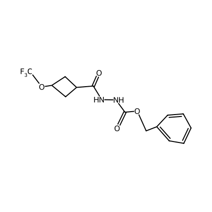 O=C(NNC(=O)C1CC(OC(F)(F)F)C1)OCc1ccccc1